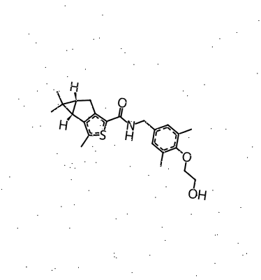 Cc1cc(CNC(=O)c2sc(C)c3c2C[C@@H]2[C@H]3C2(C)C)cc(C)c1OCCO